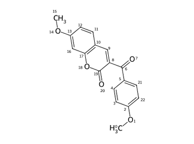 COc1ccc(C(=O)c2cc3ccc(OC)cc3oc2=O)cc1